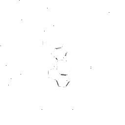 CCOC(=O)c1cnc(N2CCc3cccc(C)c32)nc1O